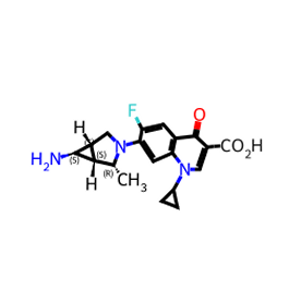 C[C@@H]1[C@@H]2[C@@H](N)[C@@H]2CN1c1cc2c(cc1F)c(=O)c(C(=O)O)cn2C1CC1